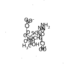 C[C@@H](O)[C@H]1C(=O)N2C(C(=O)OCc3ccc([N+](=O)[O-])cc3)=C(S[C@H]3C[C@@H](c4nc(N)no4)N(C(=O)OCc4ccc([N+](=O)[O-])cc4)C3)[C@H](C)[C@H]12